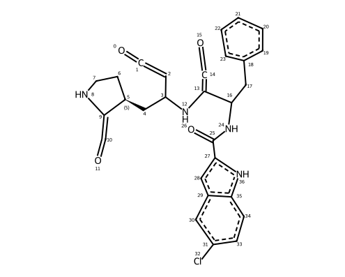 O=C=CC(C[C@@H]1CCNC1=C=O)NC(=C=O)C(Cc1ccccc1)NC(=O)c1cc2cc(Cl)ccc2[nH]1